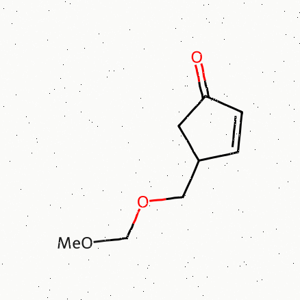 COCOCC1C=CC(=O)C1